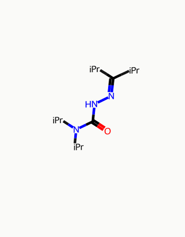 CC(C)C(=NNC(=O)N(C(C)C)C(C)C)C(C)C